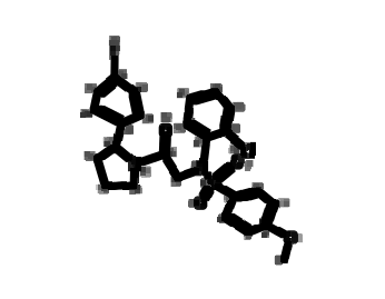 COc1ccc(S(=O)(=O)N(CC(=O)N2CCCC2c2ccc(F)cc2)c2ccccc2Cl)cc1